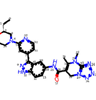 CC[C@@H]1CN(c2cc(-c3n[nH]c4ccc(NC(=O)C5=C(C)N(C)c6nnnn6C5)cc34)ccn2)CCO1